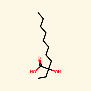 CCCCCCCCC(O)(CC)C(=O)O